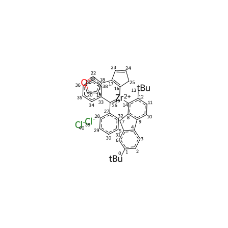 CC(C)(C)c1ccc2c(c1)Cc1c-2ccc(C(C)(C)C)[c]1[Zr+2]([C]1=C(c2ccoc2)C=CC1)=[C](c1ccccc1)c1ccccc1.[Cl-].[Cl-]